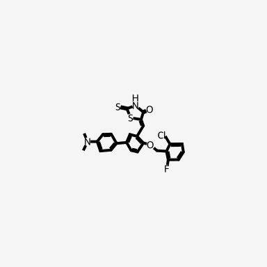 CN(C)c1ccc(-c2ccc(OCc3c(F)cccc3Cl)c(/C=C3\SC(=S)NC3=O)c2)cc1